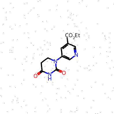 CCOC(=O)c1cncc(N2CCC(=O)NC2=O)c1